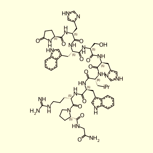 CC(C)C[C@@H](NC(=O)[C@H](Cc1c[nH]cn1)NC(=O)[C@H](CO)NC(=O)[C@H](Cc1c[nH]c2ccccc12)NC(=O)[C@H](Cc1c[nH]cn1)NC(=O)[C@@H]1CCC(=O)N1)C(=O)N[C@@H](Cc1c[nH]c2ccccc12)C(=O)N[C@@H](CCCNC(=N)N)C(=O)N1CCC[C@H]1C(=O)NCC(N)=O